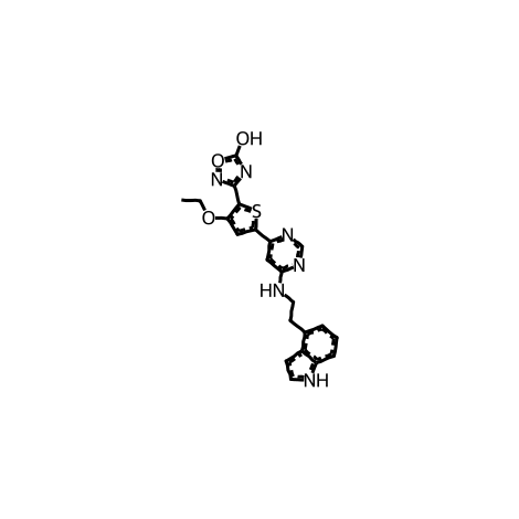 CCOc1cc(-c2cc(NCCc3cccc4[nH]ccc34)ncn2)sc1-c1noc(O)n1